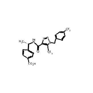 C[C@H](NC(=O)c1nnn(Cc2ccc(C(F)(F)F)cc2)c1C(F)(F)F)c1ccc(C(=O)O)cc1